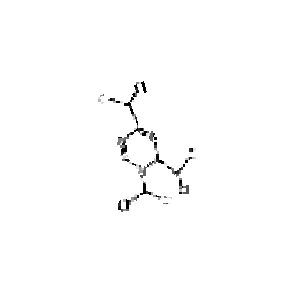 ClC(Cl)C1=NC(C(Cl)Cl)N(C(Cl)Cl)C=N1